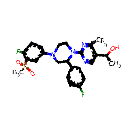 CC(O)c1cnc(N2CCN(c3ccc(F)c(S(C)(=O)=O)c3)CC2c2ccc(F)cc2)nc1C(F)(F)F